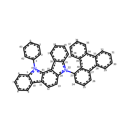 c1ccc(-n2c3ccccc3c3ccc4c(c5ccccc5n4-c4cccc5c6ccccc6c6ccccc6c45)c32)cc1